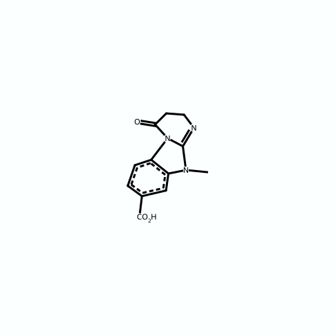 CN1C2=NCCC(=O)N2c2ccc(C(=O)O)cc21